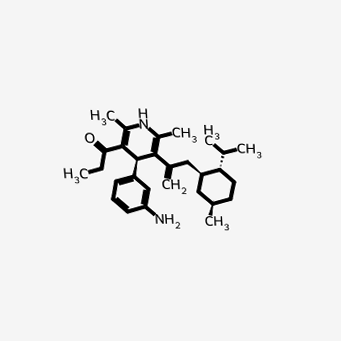 C=C(C[C@@H]1C[C@H](C)CC[C@H]1C(C)C)C1=C(C)NC(C)=C(C(=O)CC)[C@@H]1c1cccc(N)c1